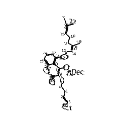 CCC=CCCOc1c(OCCCCCCCCCC)c2c(OCC=C(C)CCC=C(C)C)cccc2oc1=O